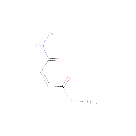 CCCCCCOC(=O)/C=C\C(=O)NCCC